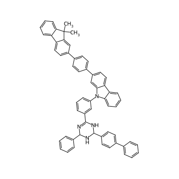 CC1(C)c2ccccc2-c2ccc(-c3ccc(-c4ccc5c6ccccc6n(-c6cccc(C7=NC(c8ccccc8)NC(c8ccc(-c9ccccc9)cc8)N7)c6)c5c4)cc3)cc21